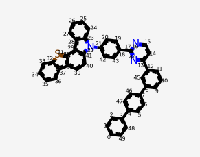 c1ccc(-c2ccc(-c3cccc(-c4ccnc(-c5ccc(-n6c7ccccc7c7c8sc9ccccc9c8ccc76)cc5)n4)c3)cc2)cc1